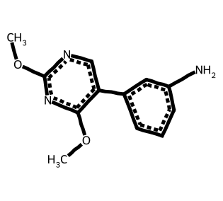 COc1ncc(-c2cccc(N)c2)c(OC)n1